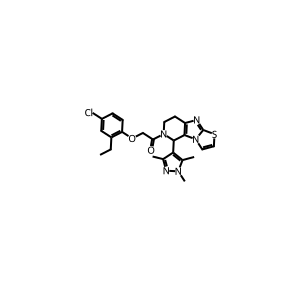 CCc1cc(Cl)ccc1OCC(=O)N1CCc2nc3sccn3c2C1c1c(C)nn(C)c1C